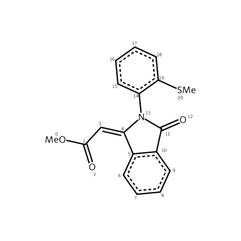 COC(=O)C=C1c2ccccc2C(=O)N1c1ccccc1SC